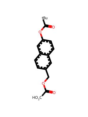 CC(C)(C)C(=O)Oc1ccc2cc(COC(=O)C(=O)O)ccc2c1